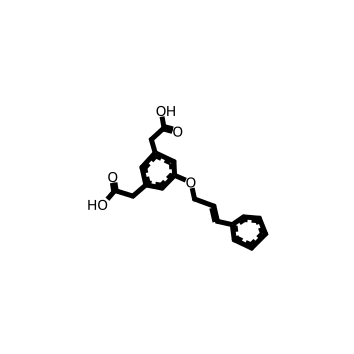 O=C(O)Cc1cc(CC(=O)O)cc(OCC=Cc2ccccc2)c1